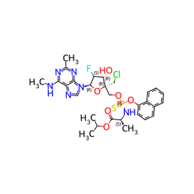 CNc1nc(C)nc2c1ncn2[C@@H]1O[C@](CCl)(CO[P@](=S)(N[C@@H](C)C(=O)OC(C)C)Oc2cccc3ccccc23)[C@@H](O)[C@@H]1F